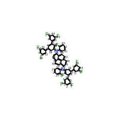 Fc1cc(F)cc(-c2cc(-c3cc(F)cc(F)c3)cc(N(c3ccccc3F)c3ccc4ccc5c(N(c6cc(-c7cc(F)cc(F)c7)cc(-c7cc(F)cc(F)c7)c6)c6ccccc6F)ccc6ccc3c4c65)c2)c1